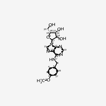 COc1ccc(CNc2ncnc3c2ncn3C2O[C@H](CO)[C@@H](O)[C@H]2O)cc1